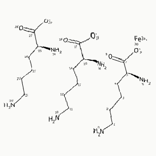 NCCCC[C@H](N)C(=O)[O-].NCCCC[C@H](N)C(=O)[O-].NCCCC[C@H](N)C(=O)[O-].[Fe+3]